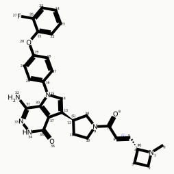 CN1CC[C@@H]1/C=C/C(=O)N1CC[C@@H](c2cn(-c3ccc(Oc4ccccc4F)cc3)c3c(N)n[nH]c(=O)c23)C1